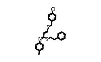 Cc1ccc(N=C(C=CSCc2ccc(Cl)cc2)SCCc2ccccc2)cc1